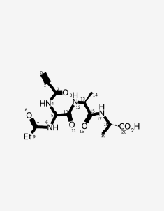 C#CC(=O)NC(NC(=O)CC)C(=O)N[C@@H](C)C(=O)N[C@@H](C)C(=O)O